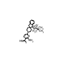 CC(C)(C)[S@@+]([O-])N[C@@H]1c2ccccc2CC12CCN(c1cnc(C(=N)I)c(N)n1)CC2